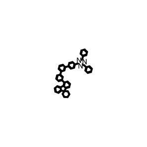 c1ccc(-c2nc(-c3ccccc3)nc(-c3ccc(-c4cccc(-c5cccc(-c6cccc7c6-c6ccccc6C76CCCCC6)c5)c4)cc3)n2)cc1